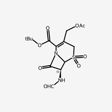 CC(=O)OCC1=C(C(=O)OC(C)(C)C)N2C(=O)[C@H](NC=O)C2S(=O)(=O)C1